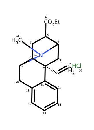 C=C[C@@]12CC3C(C(=O)OCC)CC1C(Cc1ccccc12)N3C.Cl